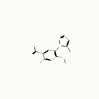 COc1cc(Cl)c(C(=O)O)cc1-n1nccc1C